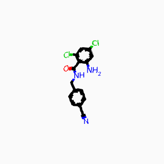 N#Cc1ccc(CNC(=O)c2c(N)cc(Cl)cc2Cl)cc1